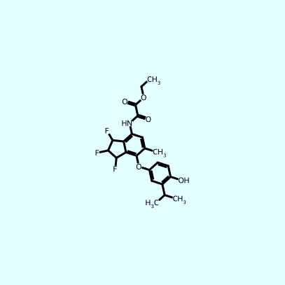 CCOC(=O)C(=O)Nc1cc(C)c(Oc2ccc(O)c(C(C)C)c2)c2c1C(F)C(F)C2F